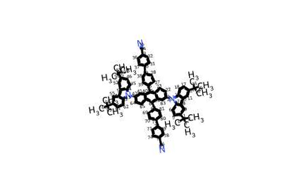 CC(C)(C)c1ccc2c(c1)c1cc(C(C)(C)C)ccc1n2-c1ccc2c(-c3ccc(-c4ccc(C#N)cc4)cc3)c3cc(-n4c5ccc(C(C)(C)C)cc5c5cc(C(C)(C)C)ccc54)ccc3c(-c3ccc(-c4ccc(C#N)cc4)cc3)c2c1